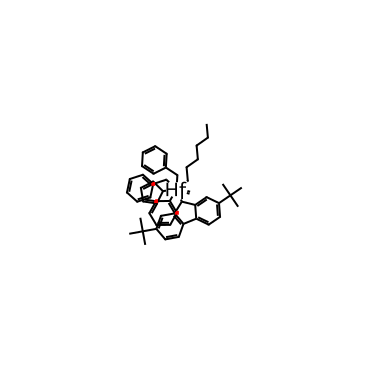 [CH2]=[Hf]([CH2]CCCCC)([CH2]c1ccccc1)([CH2]c1ccccc1)([c]1ccccc1)([CH]1C=CC=C1)[CH]1c2cc(C(C)(C)C)ccc2-c2ccc(C(C)(C)C)cc21